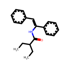 CCC(CC)C(=O)NC(=Cc1ccccc1)c1ccccc1